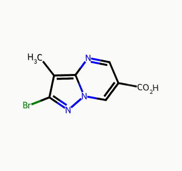 Cc1c(Br)nn2cc(C(=O)O)cnc12